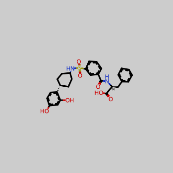 O=C(N[C@@H](Cc1ccccc1)C(=O)O)c1cccc(S(=O)(=O)N[C@H]2CC[C@@H](c3ccc(O)cc3O)CC2)c1